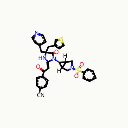 N#Cc1ccc(C(=O)/C=C2\NC(Cc3ccncc3)(Cc3ccsc3)C(=O)N2[C@H]2[C@@H]3CN(S(=O)(=O)c4ccccc4)C[C@@H]32)cc1